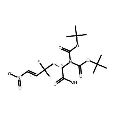 CC(C)(C)OC(=O)N(C(=O)OC(C)(C)C)[C@@H](CC(F)(F)/C=C/[N+](=O)[O-])C(=O)O